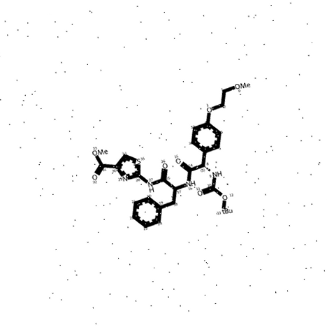 COCCOc1ccc([C@H](NC(=O)OC(C)(C)C)C(=O)NC(Cc2ccccc2)C(=O)Nc2nc(C(=O)OC)cs2)cc1